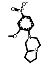 COc1cc([N+](=O)[O-])ccc1N1CCN2CCCC2C1